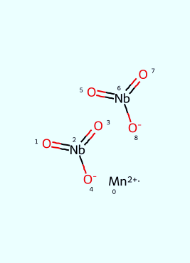 [Mn+2].[O]=[Nb](=[O])[O-].[O]=[Nb](=[O])[O-]